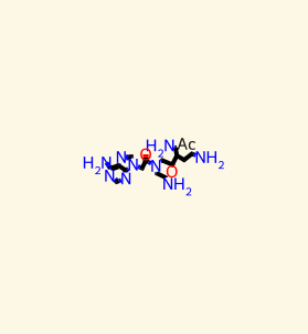 CC(=O)C(N)C(CCN)C(=O)CN(CCN)C(=O)Cn1cnc2c(N)ncnc21